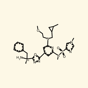 COCCN(CC1CC1C)c1cc(-c2nnc([C@](C)(N)Cc3ccccc3)o2)cc(N(C)S(=O)(=O)c2cn(C)cn2)n1